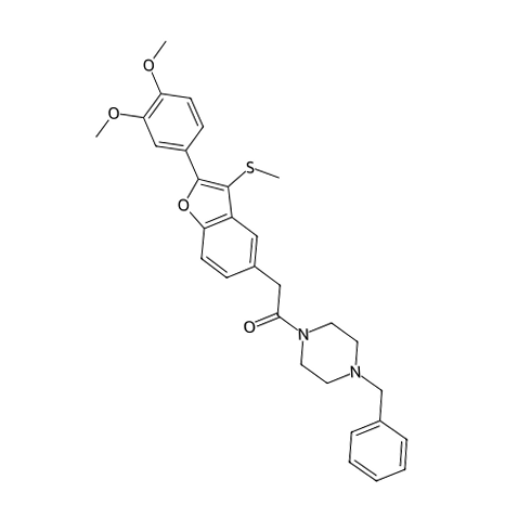 COc1ccc(-c2oc3ccc(CC(=O)N4CCN(Cc5ccccc5)CC4)cc3c2SC)cc1OC